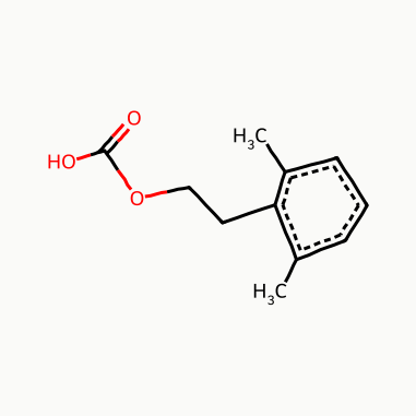 Cc1cccc(C)c1CCOC(=O)O